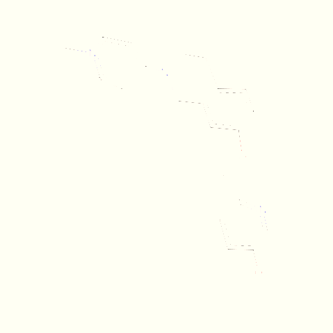 COc1ccc(COc2ccc3c(c2)CN(c2ccn(C)c(=O)c2)CC3)nc1